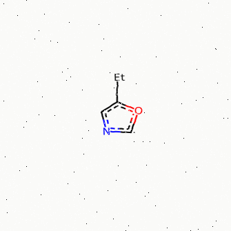 CCc1cn[c]o1